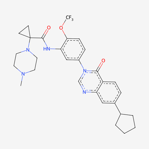 CN1CCN(C2(C(=O)Nc3cc(-n4cnc5cc(C6CCCC6)ccc5c4=O)ccc3OC(F)(F)F)CC2)CC1